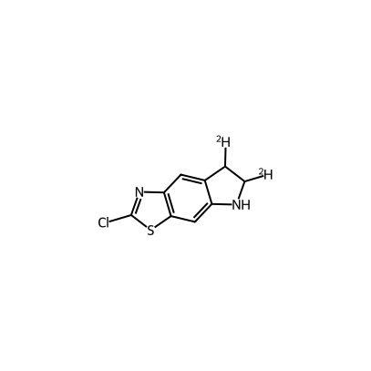 [2H]C1Nc2cc3sc(Cl)nc3cc2C1[2H]